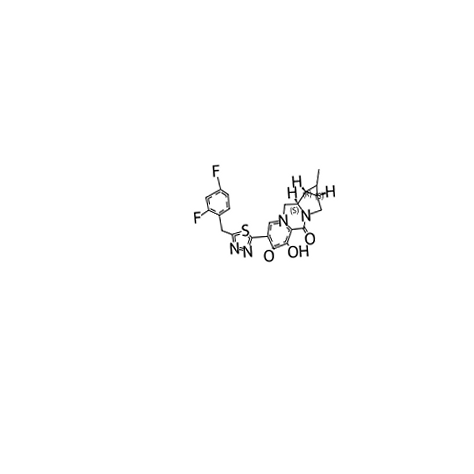 CC1[C@H]2[C@H]3Cn4cc(-c5nnc(Cc6ccc(F)cc6F)s5)c(=O)c(O)c4C(=O)N3C[C@@H]12